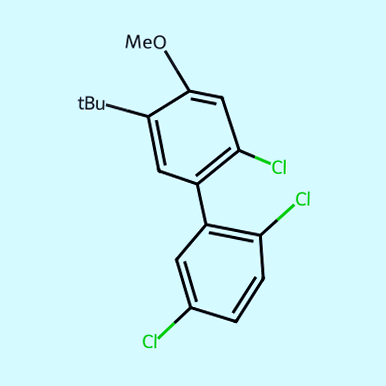 COc1cc(Cl)c(-c2cc(Cl)ccc2Cl)cc1C(C)(C)C